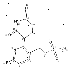 CS(=O)(=O)OCc1ccc(F)nc1C1CCC(=O)NC1=O